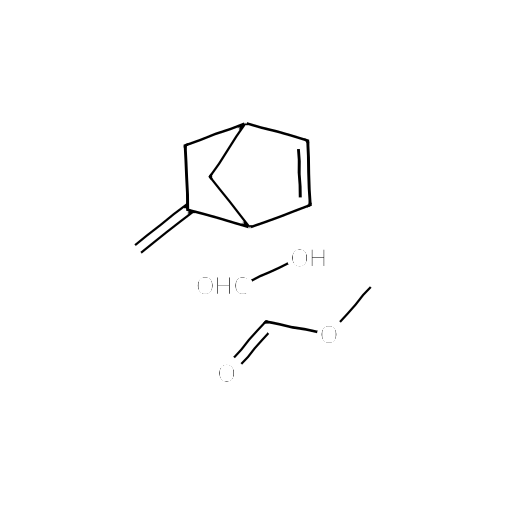 C=C1CC2C=CC1C2.COC=O.O=CO